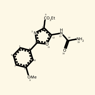 CCOC(=O)c1nc(-c2cccc(OC)c2)oc1NC(N)=O